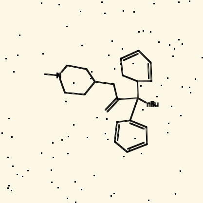 C=C(CC1CCN(C)CC1)C(CCCC)(c1ccccc1)C1C=CC=CC1